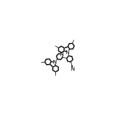 Cc1ccc2c(c1)c1cc(C)ccc1n2-c1ccnc(-c2cc(C#N)ccc2-n2c3ccc(C)cc3c3cc(C)ccc32)c1